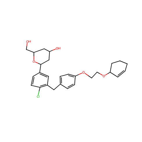 OCC1CC(O)CC(c2ccc(Cl)c(Cc3ccc(OCCOC4C=CCCC4)cc3)c2)O1